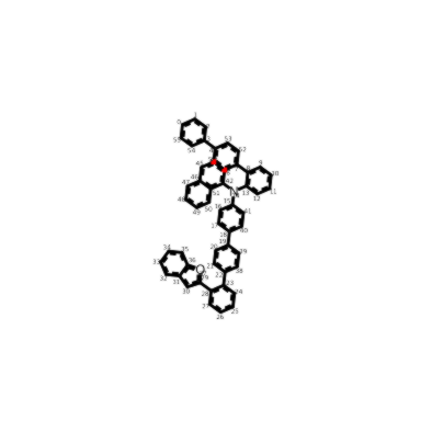 c1ccc(-c2ccc(-c3ccccc3N(c3ccc(-c4ccc(-c5ccccc5-c5cc6ccccc6o5)cc4)cc3)c3cccc4ccccc34)cc2)cc1